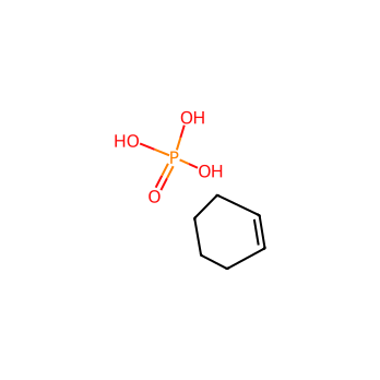 C1=CCCCC1.O=P(O)(O)O